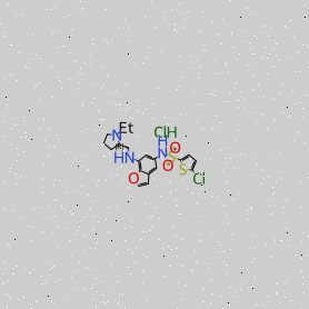 CCN1CCC[C@@H]1CNc1cc(NS(=O)(=O)c2ccc(Cl)s2)cc2ccoc12.Cl